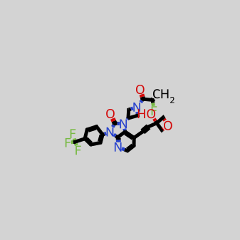 C=C(F)C(=O)N1CC(n2c(=O)n(-c3ccc(C(F)(F)F)cc3)c3nccc(C#CC4(O)COC4)c32)C1